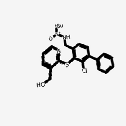 CC(C)(C)[S+]([O-])NCc1ccc(-c2ccccc2)c(Cl)c1Sc1ncccc1CO